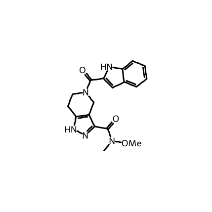 CON(C)C(=O)c1n[nH]c2c1CN(C(=O)c1cc3ccccc3[nH]1)CC2